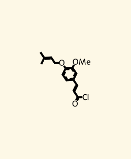 COc1cc(C=CC(=O)Cl)ccc1OCC=C(C)C